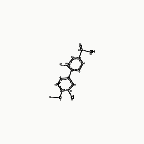 COc1ncc(-c2ccc(C(=O)O)cc2C)cc1Cl